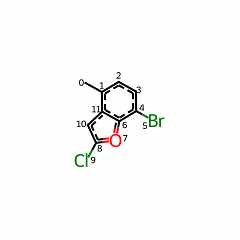 Cc1ccc(Br)c2oc(Cl)cc12